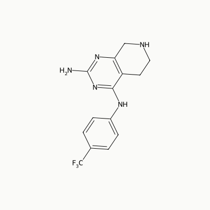 Nc1nc2c(c(Nc3ccc(C(F)(F)F)cc3)n1)CCNC2